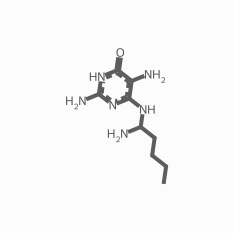 CCCCC(N)Nc1nc(N)[nH]c(=O)c1N